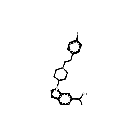 CC(O)c1ccc2ccn(C3CCN(CCc4ccc(F)cc4)CC3)c2c1